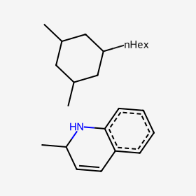 CC1C=Cc2ccccc2N1.CCCCCCC1CC(C)CC(C)C1